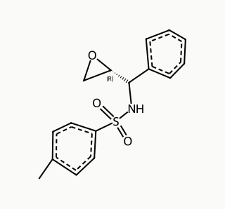 Cc1ccc(S(=O)(=O)NC(c2ccccc2)[C@@H]2CO2)cc1